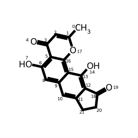 Cc1cc(=O)c2c(O)cc3cc4c(c(O)c3c2o1)C(=O)CC4